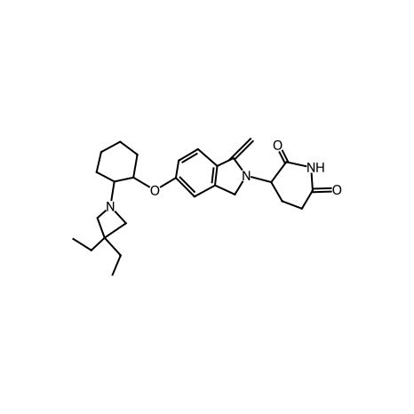 C=C1c2ccc(OC3CCCCC3N3CC(CC)(CC)C3)cc2CN1C1CCC(=O)NC1=O